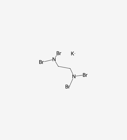 BrN(Br)CCN(Br)Br.[K]